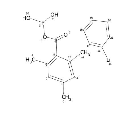 Cc1cc(C)c(C(=O)OP(O)O)c(C)c1.[Li][c]1ccccc1